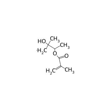 [CH2]C(C)(O)C(C)OC(=O)C(=C)C